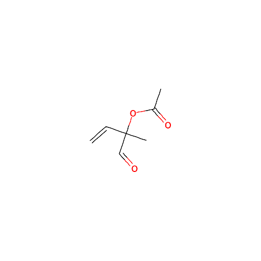 C=CC(C)(C=O)OC(C)=O